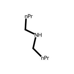 [CH2]CCCNCCC[CH2]